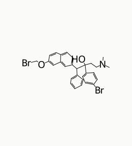 CN(C)CCC(O)(c1ccc(Br)cc1)C(c1ccccc1)c1ccc2ccc(OCBr)cc2c1